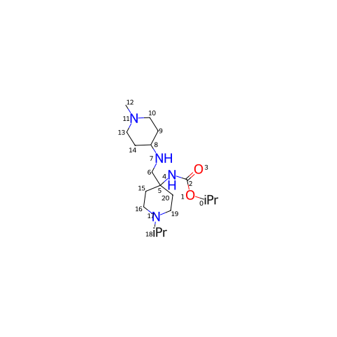 CC(C)OC(=O)NC1(CNC2CCN(C)CC2)CCN(C(C)C)CC1